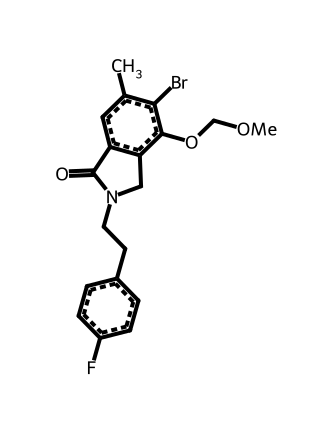 COCOc1c(Br)c(C)cc2c1CN(CCc1ccc(F)cc1)C2=O